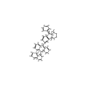 CC1CCCC2(C)c3cc(-c4c5ccccc5c(-c5cccc6ccccc56)c5ccccc45)ccc3N(c3ccccc3)C12C